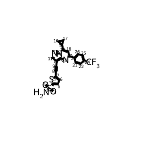 NS(=O)(=O)c1ccc(C#Cc2cnn3c(C4CC4)cc(-c4ccc(C(F)(F)F)cc4)nc23)s1